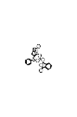 O=C(OC1=C(Sc2ccccc2)CC2CC(=O)N12)OC1OC(=O)c2ccccc21